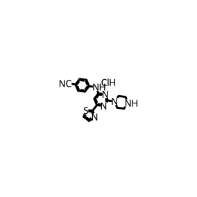 Cl.N#Cc1ccc(Nc2cc(-c3nccs3)nc(N3CCNCC3)n2)cc1